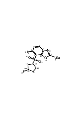 CC(C)(C)c1nc2ccc(Cl)c(S(=O)(=O)N3CC[C@@H](F)C3)c2o1